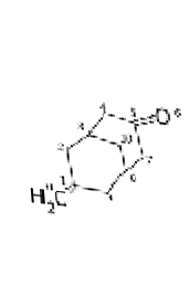 C=C1CC2CC(=O)CC(C1)C2